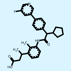 Cc1c(NC(=O)C(c2ccc(-c3cncc(F)c3)cc2)C2CCCC2)cccc1C(C)CC(=O)O